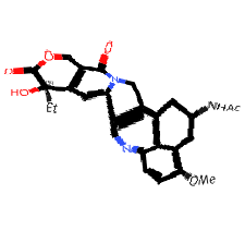 CC[C@@]1(O)C(=O)OCc2c1cc1n(c2=O)Cc2c-1nc1ccc(OC)c3c1c2CC(NC(C)=O)C3